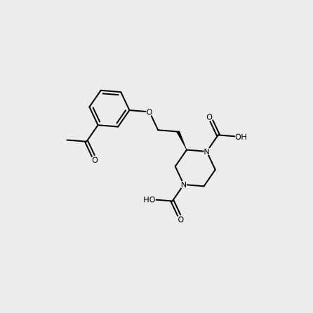 CC(=O)c1cccc(OCC[C@@H]2CN(C(=O)O)CCN2C(=O)O)c1